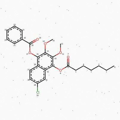 CCCCCCC(=O)Oc1c(OC)c(OC)c(OC(=O)c2ccccc2)c2ccc(Cl)cc12